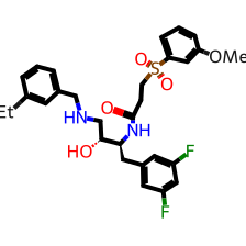 CCc1cccc(CNC[C@@H](O)[C@H](Cc2cc(F)cc(F)c2)NC(=O)CCS(=O)(=O)c2cccc(OC)c2)c1